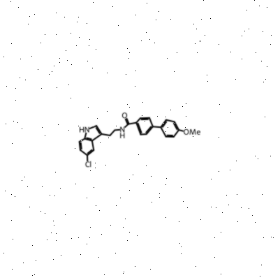 COc1ccc(-c2ccc(C(=O)NCCc3c[nH]c4ccc(Cl)cc34)cc2)cc1